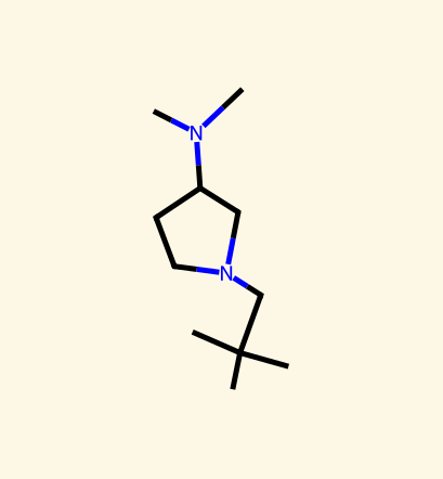 CN(C)C1CCN(CC(C)(C)C)C1